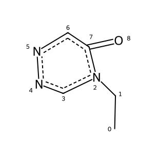 CCn1cnncc1=O